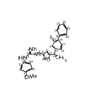 COc1ccc(NC(=N)NCc2cc(C(C)c3ccc(-c4ccccc4)c(F)c3)on2)cc1